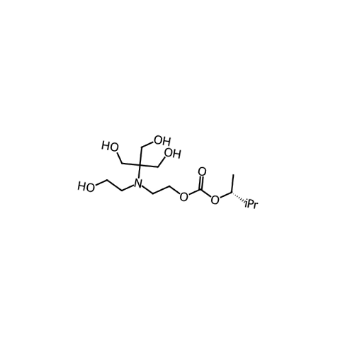 CC(C)[C@@H](C)OC(=O)OCCN(CCO)C(CO)(CO)CO